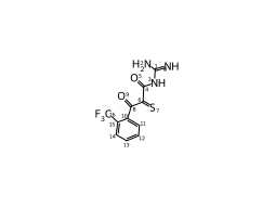 N=C(N)NC(=O)C(=S)C(=O)c1ccccc1C(F)(F)F